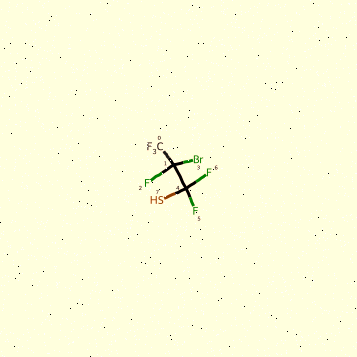 FC(F)(F)C(F)(Br)C(F)(F)S